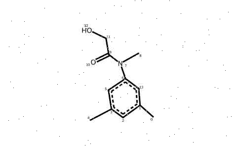 Cc1cc(C)cc(N(C)C(=O)CO)c1